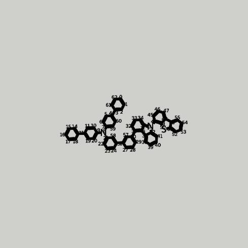 c1ccc(-c2ccc(N(c3ccc(-c4ccccc4)cc3)c3cccc(-c4cccc(-c5cccc6c5c5ccccc5n6-c5cccc6c5sc5ccccc56)c4)c3)cc2)cc1